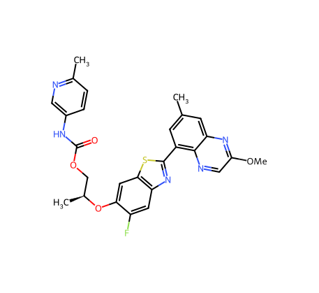 COc1cnc2c(-c3nc4cc(F)c(O[C@@H](C)COC(=O)Nc5ccc(C)nc5)cc4s3)cc(C)cc2n1